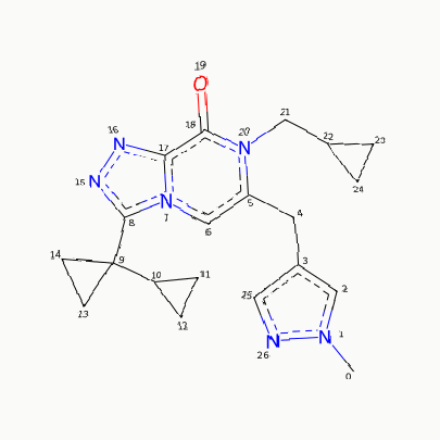 Cn1cc(Cc2cn3c(C4(C5CC5)CC4)nnc3c(=O)n2CC2CC2)cn1